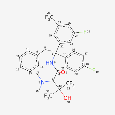 CN(C)C(C(=O)N[C@](Cc1ccccc1)(c1ccc(F)cc1)c1cc(F)cc(C(F)(F)F)c1)C(O)(C(F)(F)F)C(F)(F)F